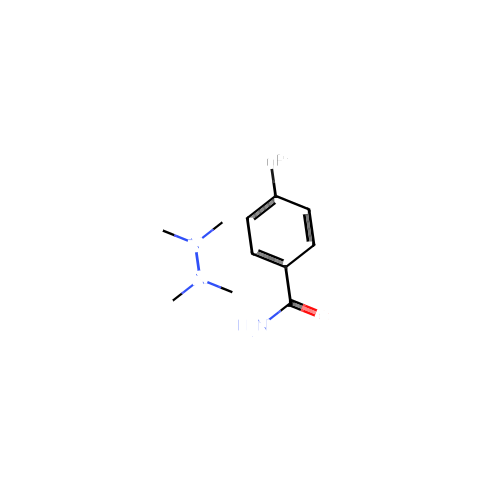 CCCc1ccc(C(N)=O)cc1.CN(C)N(C)C